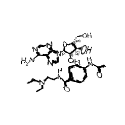 CCN(CC)CCNC(=O)c1ccc(NC(C)=O)cc1.Nc1ncnc2c1ncn2[C@@H]1O[C@H](CO)[C@@H](O)[C@H]1O